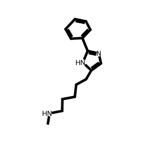 CNCCCCCc1cnc(-c2ccccc2)[nH]1